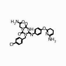 NC(=O)Cn1c(=O)[nH]/c(=N\c2ccc(OC3=NC(N)=CCC3)cc2)n(Cc2ccc(Cl)cc2)c1=O